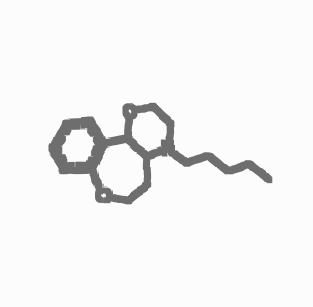 CCCCCN1CCOC2c3ccccc3OCCC21